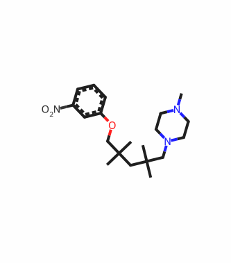 CN1CCN(CC(C)(C)CC(C)(C)COc2cccc([N+](=O)[O-])c2)CC1